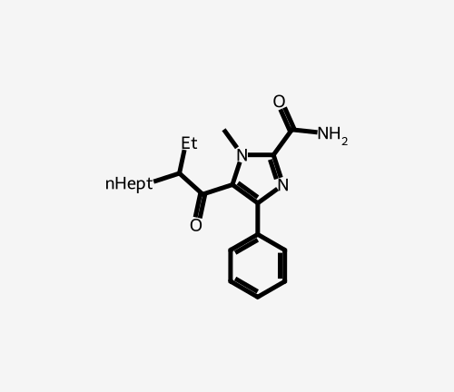 CCCCCCCC(CC)C(=O)c1c(-c2ccccc2)nc(C(N)=O)n1C